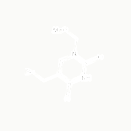 CCC(C)Cc1cn(COC)c(=O)[nH]c1=O